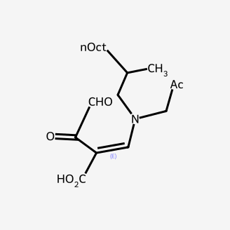 CCCCCCCCC(C)CN(/C=C(/C(=O)O)C(=O)C=O)CC(C)=O